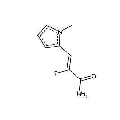 Cn1cccc1C=C(F)C(N)=O